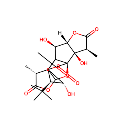 C[C@@H]1C(=O)O[C@H]2[C@H](O)C34C5OC(=O)[C@@]3(OC3OC(=O)[C@H](C)C34[C@H](C(C)(C)C)[C@H]5O)[C@@]12O